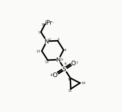 C[C](C)CN1CCN(S(=O)(=O)C2CC2)CC1